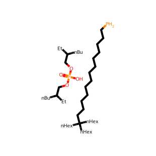 CCCCC(CC)COP(=O)(O)OCC(CC)CCCC.CCCCCCC(CCCCCC)(CCCCCC)CCCCCCCCCCCCCP